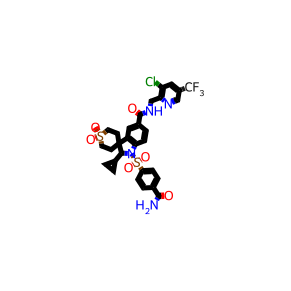 NC(=O)c1ccc(S(=O)(=O)N2c3ccc(C(=O)NCc4ncc(C(F)(F)F)cc4Cl)cc3C3(CCS(=O)(=O)CC3)C2C2CC2)cc1